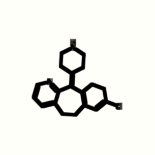 ClC1=CC2=C(CC1)C(=C1CCNCC1)c1ncccc1CC2